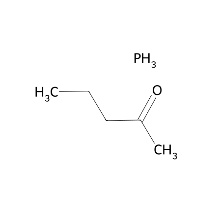 CCCC(C)=O.P